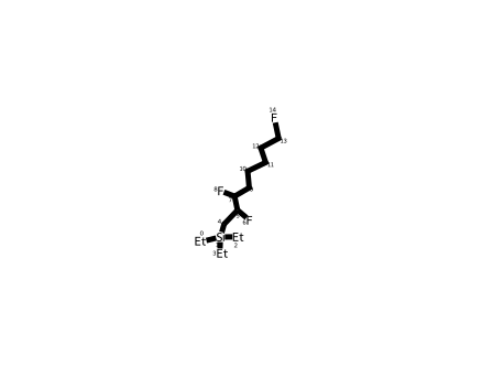 CC[Si](CC)(CC)CC(F)C(F)CCCCCF